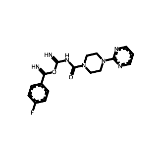 N=C(NC(=O)N1CCN(c2ncccn2)CC1)OC(=N)c1ccc(F)cc1